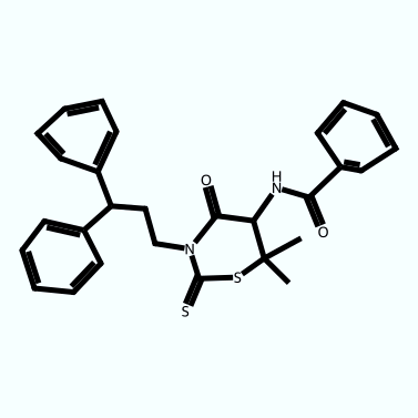 CC1(C)SC(=S)N(CCC(c2ccccc2)c2ccccc2)C(=O)C1NC(=O)c1ccccc1